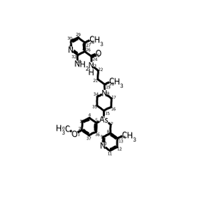 COc1ccc([As](Cc2cnccc2C)C2CCN(C(C)CCNC(=O)c3c(C)ccnc3N)CC2)cc1